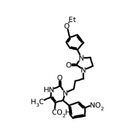 CCOc1ccc(N2CCN(CCCN3C(=O)NC(C)=C(C(=O)O)C3c3cccc([N+](=O)[O-])c3)C2=O)cc1